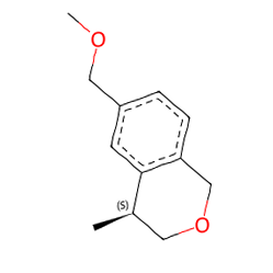 COCc1ccc2c(c1)[C@H](C)COC2